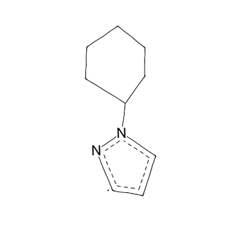 [c]1ccn(C2CCCCC2)n1